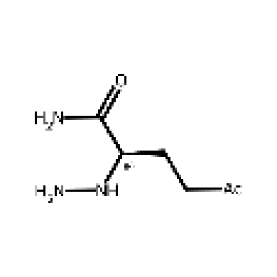 CC(=O)CC[C@@H](NN)C(N)=O